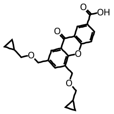 O=C(O)c1ccc2oc3c(COCC4CC4)cc(COCC4CC4)cc3c(=O)c2c1